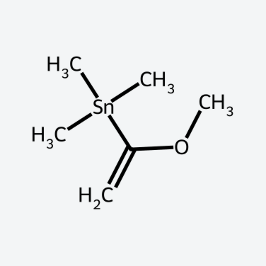 C=[C](OC)[Sn]([CH3])([CH3])[CH3]